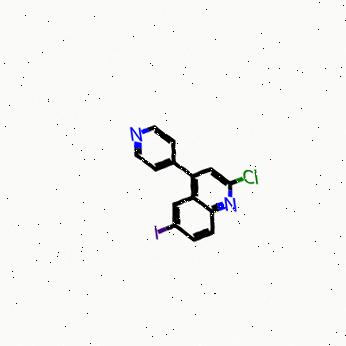 Clc1cc(-c2ccncc2)c2cc(I)ccc2n1